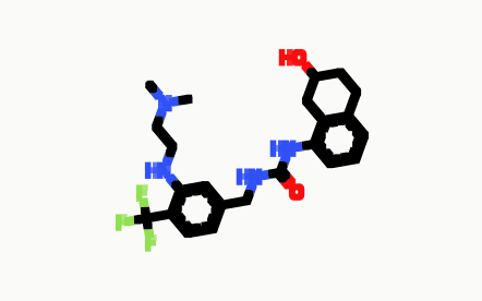 CN(C)CCNc1cc(CNC(=O)Nc2cccc3c2CC(O)CC3)ccc1C(F)(F)F